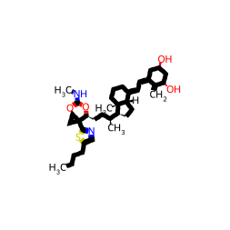 C=C1/C(=C\C=C2/CCC[C@]3(C)[C@@H]([C@H](C)CC[C@@H](OC(=O)NC)C4(c5ncc(CCCC)s5)CC4)CC[C@@H]23)C[C@@H](O)C[C@@H]1O